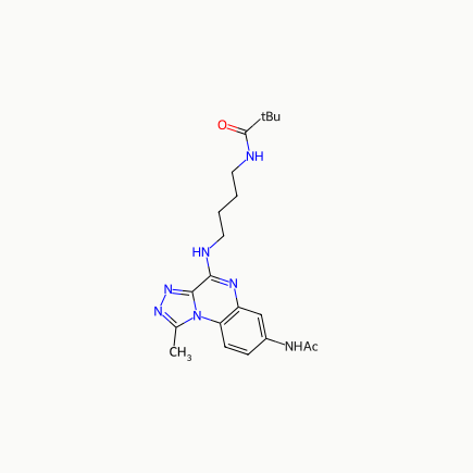 CC(=O)Nc1ccc2c(c1)nc(NCCCCNC(=O)C(C)(C)C)c1nnc(C)n12